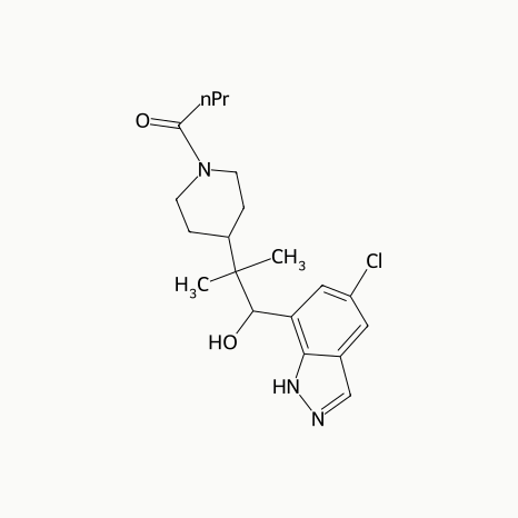 CCCC(=O)N1CCC(C(C)(C)C(O)c2cc(Cl)cc3cn[nH]c23)CC1